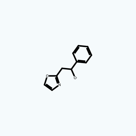 [O]C(Cc1ncco1)c1ccccc1